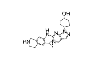 COc1cc2c(cc1Nc1ncc3cnn(C4CCC(O)CC4)c3n1)CNCC2